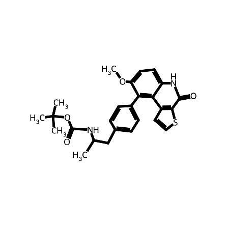 COc1ccc2[nH]c(=O)c3sccc3c2c1-c1ccc(CC(C)NC(=O)OC(C)(C)C)cc1